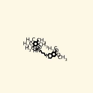 COc1cc2c(cc1OC)CN(CCCCNS(=O)(=O)c1c(C)c(C)c(C)c(C)c1C)CC2